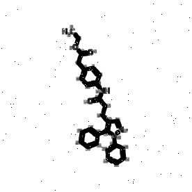 CCOC(=O)Cc1ccc(NC(=O)CCc2cnn(-c3ccccc3)c2-c2ccccc2)cc1